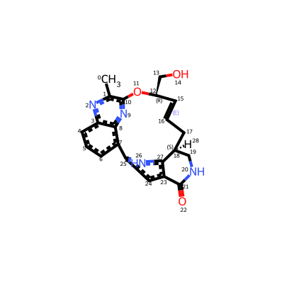 Cc1nc2cccc3c2nc1O[C@@H](CO)/C=C/C[C@H]1CNC(=O)c2cc-3[nH]c21